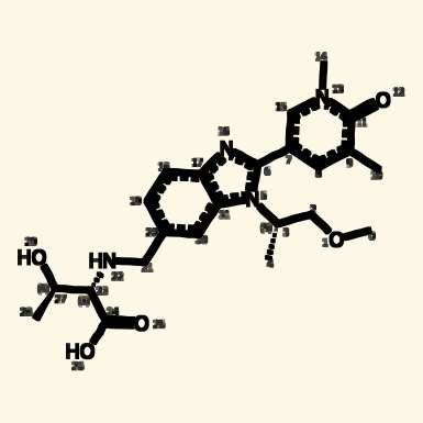 COC[C@H](C)n1c(-c2cc(C)c(=O)n(C)c2)nc2ccc(CN[C@H](C(=O)O)[C@@H](C)O)cc21